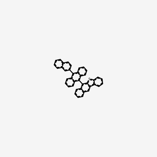 c1ccc2cc(-c3c4ccccc4c(-c4c5ccccc5cc5c4sc4ccccc45)c4ccccc34)ccc2c1